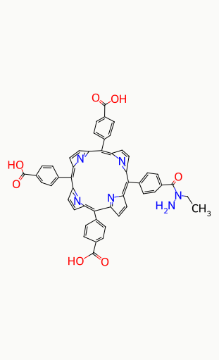 CCN(N)C(=O)c1ccc(C2=C3C=CC(=N3)C(c3ccc(C(=O)O)cc3)=C3C=CC(=N3)C(c3ccc(C(=O)O)cc3)=C3C=CC(=N3)C(c3ccc(C(=O)O)cc3)=C3C=CC2=N3)cc1